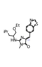 CCOCC(CC(C)C)NC1=N/C(=C\c2ccc3ncsc3c2)C(=O)N1C